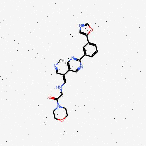 C/N=C\C(=C/NCC(=O)N1CCOCC1)c1cnc(-c2cccc(-c3cnco3)c2)nc1